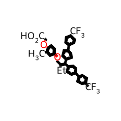 CCC(COc1ccc(OCC(=O)O)c(C)c1)=C(c1ccc(-c2ccc(C(F)(F)F)cc2)cc1)c1ccc(-c2ccc(C(F)(F)F)cc2)cc1